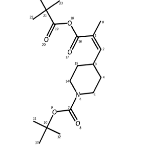 C/C(=C/C1CCN(C(=O)OC(C)(C)C)CC1)C(=O)OC(=O)C(C)(C)C